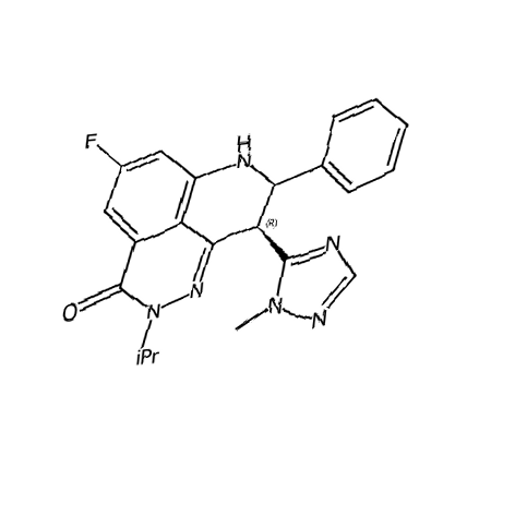 CC(C)n1nc2c3c(cc(F)cc3c1=O)NC(c1ccccc1)[C@H]2c1ncnn1C